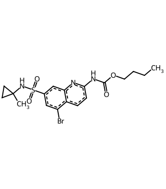 CCCCOC(=O)Nc1ccc2c(Br)cc(S(=O)(=O)NC3(C)CC3)cc2n1